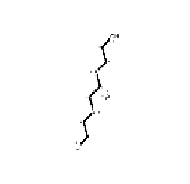 OCCSCCSCCO.S